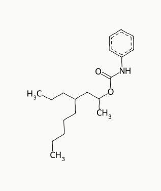 CCCCCC(CCC)CC(C)OC(=O)Nc1ccccc1